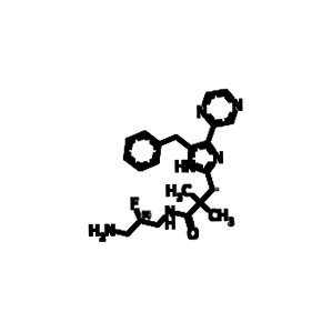 CC(C)([CH]c1nc(-c2cnccn2)c(Cc2ccccc2)[nH]1)C(=O)NC[C@H](F)CN